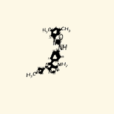 Cc1cc(C)c2oc(Nc3ccc(-c4nn(C5CN(C)C5)c5ncnc(N)c45)cc3)nc2c1